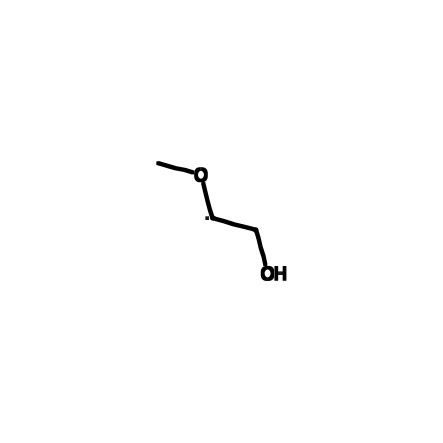 CO[CH]CO